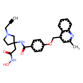 C#CCN1CCC(CC(=O)NO)(NC(=O)c2ccc(OCc3cc(C)nc4ccccc34)cc2)C1